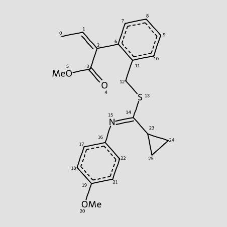 CC=C(C(=O)OC)c1ccccc1CSC(=Nc1ccc(OC)cc1)C1CC1